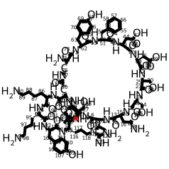 CC(C)CC1NC(=O)[C@H](C(C)C)NC(=O)C(CC(N)=O)NC(=O)[C@H](CO)NC(=O)C(CO)NC(=O)[C@H](CC(=O)O)NC(=O)C(CC(=O)O)NC(=O)[C@H](Cc2ccccc2)NC(=O)C(Cc2ccc(O)cc2)NC(=O)C(N)CNC(=O)CC(C(=O)NC(CCCCN)C(=O)N[C@@H](CCCCN)C(=O)NC(Cc2ccc(O)cc2)C(=O)N[C@@H](CCCNC(=N)N)C(=O)NC(CO)C(N)=O)NC1=O